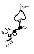 CCOC(=O)N1CCN(C(=O)[C@@H](N)CP(=O)(OCC)OCC)CC1